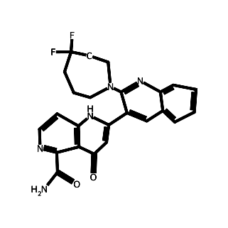 NC(=O)c1nccc2[nH]c(-c3cc4ccccc4nc3N3CCCC(F)(F)CC3)cc(=O)c12